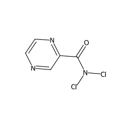 O=C(c1cnccn1)N(Cl)Cl